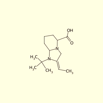 C/C=C1\CN2C(C(=O)O)CCCC2N1C(C)(C)C